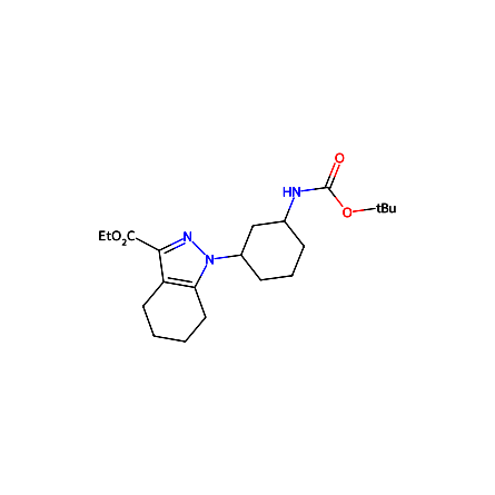 CCOC(=O)c1nn(C2CCCC(NC(=O)OC(C)(C)C)C2)c2c1CCCC2